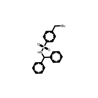 CC(C)(C)Cc1ccc(S(=O)(=O)NC(c2ccccc2)c2ccccc2)cc1